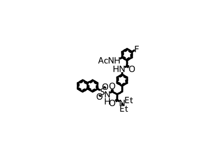 CCN(CC)C(=O)C(Cc1ccc(NC(=O)c2cc(F)ccc2NC(C)=O)cc1)C(=O)NS(=O)(=O)c1ccc2ccccc2c1